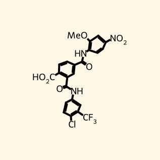 COc1cc([N+](=O)[O-])ccc1NC(=O)c1ccc(C(=O)O)c(C(=O)Nc2ccc(Cl)c(C(F)(F)F)c2)c1